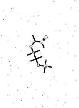 CC(O[Si](C)(C)C(C)(C)O[Si](C)(C)C)[Si](C)=O